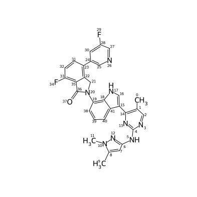 Cc1cnc(Nc2cc(C)n(C)n2)nc1-c1c[nH]c2c(N3Cc4c(-c5cncc(F)c5)ccc(F)c4C3=O)cccc12